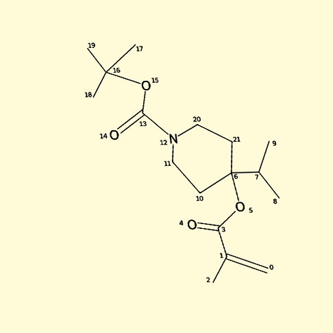 C=C(C)C(=O)OC1(C(C)C)CCN(C(=O)OC(C)(C)C)CC1